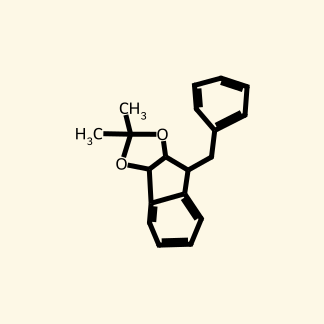 CC1(C)OC2c3ccccc3C(Cc3ccccc3)C2O1